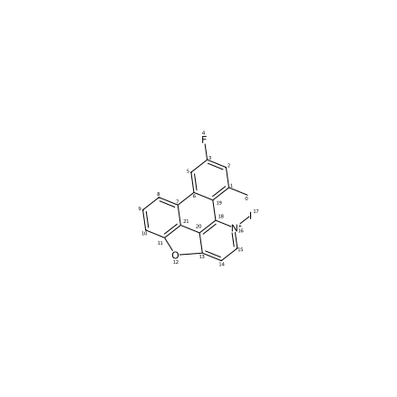 Cc1cc(F)cc2c3cccc4oc5cc[n+](I)c(c12)c5c43